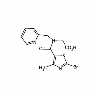 Cc1nc(Br)sc1C(=O)N(CC(=O)O)Cc1ccccn1